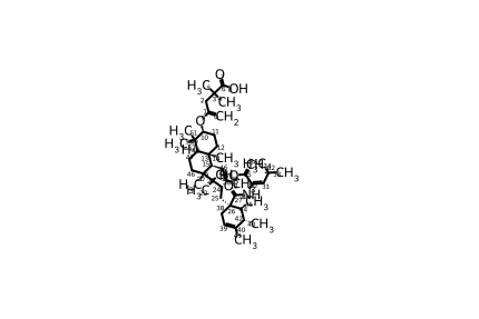 C=C(CC(C)(C)C(=O)O)O[C@H]1CC[C@]2(C)[C@@H](CCC)[C@](C)(C(C)(C)CC[C@@]3(C(=O)N/C(=C/C(C)C)C(=C)O)CC=C(C)[C@@H](C)[C@@H]3C)CC[C@H]2C1(C)C